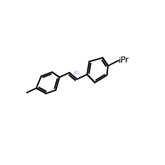 Cc1ccc(/C=C/c2ccc(C(C)C)cc2)cc1